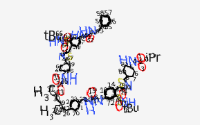 CC(C)OC(=O)NC1CCC(c2ncc(-c3ccc(NC(=O)NCc4ccc(C[C@H](C)CCC(C)OC(=O)NC5CCC(c6ncc(-c7ccc(NC(=O)NCc8ccccc8)cc7S(=O)(=O)NC(C)(C)C)s6)CC5)cc4)cc3S(=O)(=O)NC(C)(C)C)s2)CC1